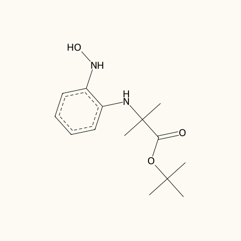 CC(C)(C)OC(=O)C(C)(C)Nc1ccccc1NO